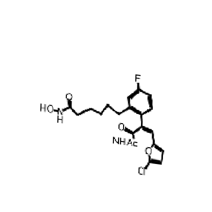 CC(=O)NC(=O)/C(=C\c1ccc(Cl)o1)c1ccc(F)cc1CCCCCC(=O)NO